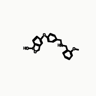 COc1ccccc1CNCc1ccc(Oc2ccc3c(c2)COB3O)cc1